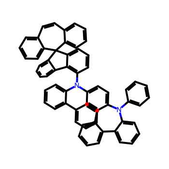 C1=Cc2ccccc2C2(c3ccccc31)c1ccccc1-c1c(N(c3ccc4c(c3)-c3ccccc3-c3ccccc3N4c3ccccc3)c3ccccc3-c3ccccc3)cccc12